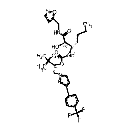 CCCC[C@H](NC(=O)O[C@H](Cn1ccc(-c2ccc(C(F)(F)F)cc2)n1)C(C)(C)C)[C@@H](O)C(=O)NCc1ccno1